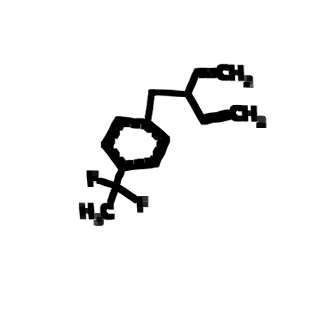 C=CC(C=C)Cc1ccc(C(C)(F)F)cc1